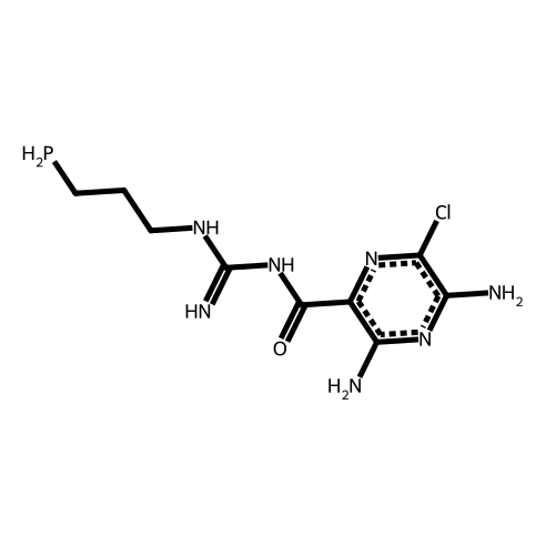 N=C(NCCCP)NC(=O)c1nc(Cl)c(N)nc1N